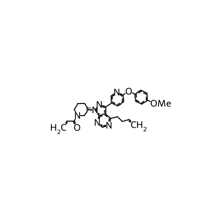 C=CCCc1ncnc2c1c(-c1ccc(Oc3ccc(OC)cc3)nc1)nn2[C@@H]1CCCN(C(=O)C=C)C1